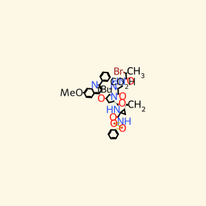 C=C[C@@H]1C[C@]1(NC(=O)[C@@H]1C[C@@H](Oc2cc(-c3ccccc3)nc3cc(OC)ccc23)CN1C(=O)C(CNC(=O)[C@H](C)Br)N(C(=O)O)C(C)(C)C)C(=O)NS(=O)(=O)c1ccccc1